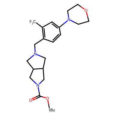 CC(C)(C)OC(=O)N1CC2CN(Cc3ccc(N4CCOCC4)cc3C(F)(F)F)CC2C1